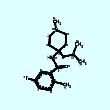 Cc1ccc(F)cc1C(=O)NC1(CN(C)C)CCN(C)CC1